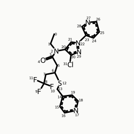 CCN(C(=O)CC(CC(F)(F)F)SCc1ccncc1)c1cn(-c2cccnc2)nc1Cl